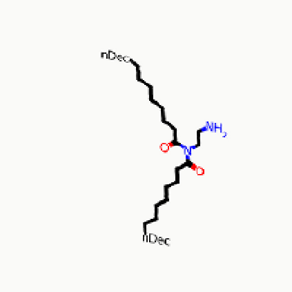 CCCCCCCCCCCCCCCCCC(=O)N(CCN)C(=O)CCCCCCCCCCCCCCCCC